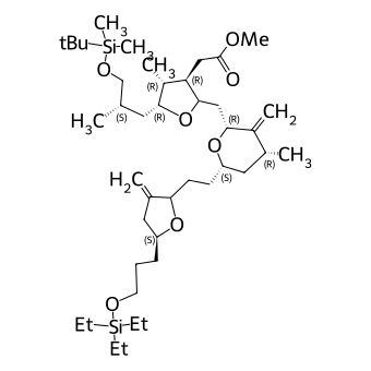 C=C1C[C@H](CCCO[Si](CC)(CC)CC)OC1CC[C@H]1C[C@@H](C)C(=C)[C@@H](CC2O[C@H](C[C@H](C)CO[Si](C)(C)C(C)(C)C)[C@H](C)[C@H]2CC(=O)OC)O1